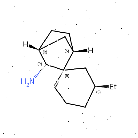 CC[C@H]1CCC[C@@]2(C1)[C@H]1CC[C@H](C1)[C@H]2N